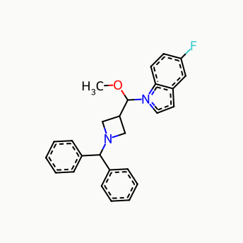 COC(C1CN(C(c2ccccc2)c2ccccc2)C1)n1ccc2cc(F)ccc21